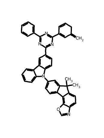 C=C1C=C(c2nc(-c3ccccc3)nc(-c3ccc4c(c3)c3ccccc3n4-c3ccc4c(c3)C(C)(C)c3ccc5ncoc5c3-4)n2)C=CC1